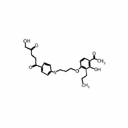 CCCc1c(OCCCSc2ccc(C(=O)CCC(=O)CO)cc2)ccc(C(C)=O)c1O